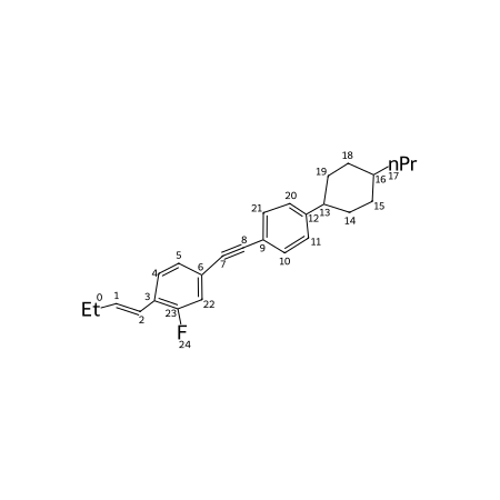 CCC=Cc1ccc(C#Cc2ccc(C3CCC(CCC)CC3)cc2)cc1F